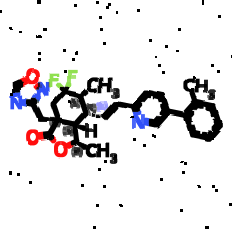 Cc1ccccc1-c1ccc(/C=C/[C@@H]2[C@@H]3[C@@H](C)OC(=O)[C@]3(Cc3ncon3)CC(F)(F)[C@H]2C)nc1